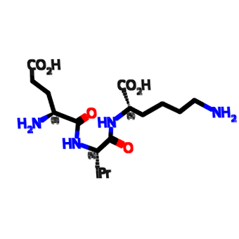 CC(C)[C@H](NC(=O)[C@@H](N)CCC(=O)O)C(=O)N[C@@H](CCCCN)C(=O)O